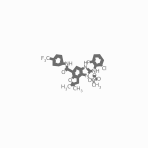 CC1(C)Cc2c(c(C(=O)Nc3ccc(C(F)(F)F)cc3)cc3c2N(OS(C)(=O)=O)C(Nc2c(F)cccc2Cl)N3)O1